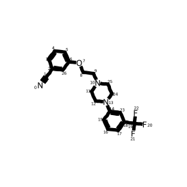 N#Cc1cccc(OCCN2CCN(c3cccc(C(F)(F)F)c3)CC2)c1